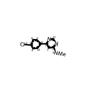 CNc1cc(-c2ccc(Cl)cc2)ncn1